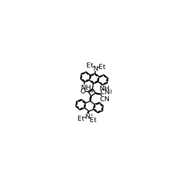 CCN(CC)c1c2cccc(N)c2c(C2=C([O-])C(=C3c4ccccc4C(=[N+](CC)CC)c4ccccc43)C2=C(C#N)C#N)c2c(N)cccc12